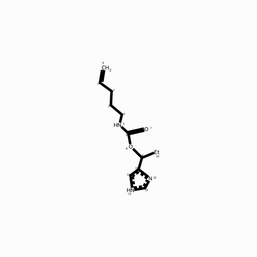 C=CCCCNC(=O)OC(CC)c1c[nH]cn1